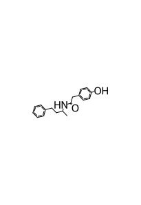 CC(CCc1ccccc1)NC(=O)Cc1ccc(O)cc1